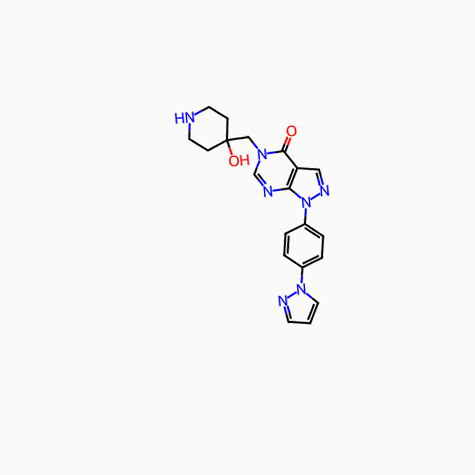 O=c1c2cnn(-c3ccc(-n4cccn4)cc3)c2ncn1CC1(O)CCNCC1